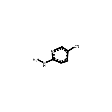 N#Cc1ccc(NN)nc1